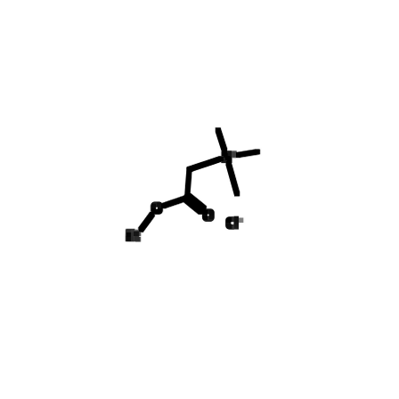 CCOC(=O)C[N+](C)(C)C.[Cl-]